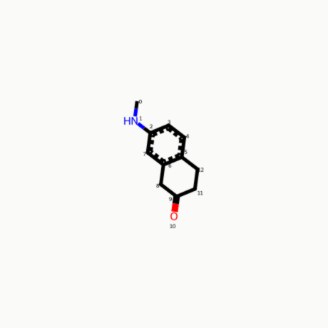 CNc1ccc2c(c1)CC(=O)CC2